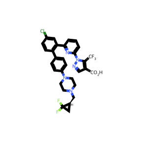 O=C(O)c1cnn(-c2cccc(-c3cc(Cl)ccc3-c3ccc(N4CCN(C[C@H]5CC5(F)F)CC4)cc3)n2)c1C(F)(F)F